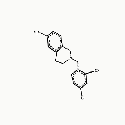 Nc1ccc2c(c1)CCN(Cc1ccc(Cl)cc1Cl)C2